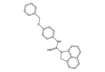 N=C(Nc1ccc(OCc2ccccc2)cc1)N1Cc2cccc3cccc1c23